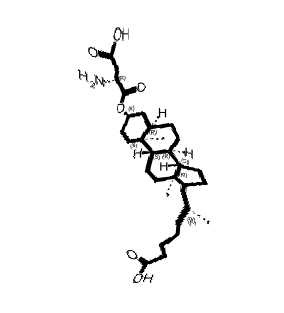 C[C@H](CCCCC(=O)O)C1CC[C@H]2[C@@H]3CC[C@@H]4C[C@H](OC(=O)[C@H](N)CC(=O)O)CC[C@]4(C)[C@H]3CC[C@]12C